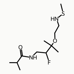 CSNCCOC(C)(C)C(F)CNC(=O)C(C)C